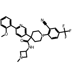 COc1ccccc1-c1ccc(C2(C(=O)NC3CN(C)C3)CCN(c3ccc(C(F)(F)F)cc3C#N)CC2)cn1